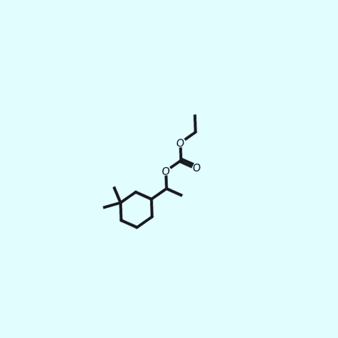 CCOC(=O)OC(C)C1CCCC(C)(C)C1